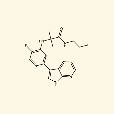 CC(C)(Nc1nc(-c2c[nH]c3ncccc23)ncc1F)C(=O)NCCF